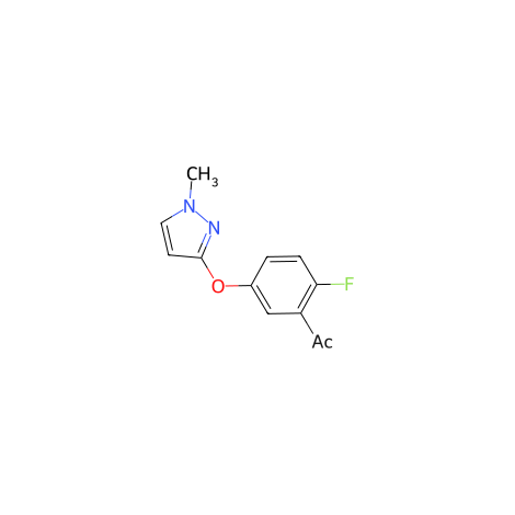 CC(=O)c1cc(Oc2ccn(C)n2)ccc1F